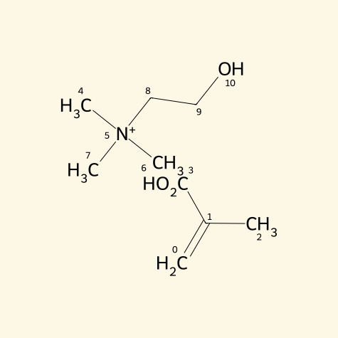 C=C(C)C(=O)O.C[N+](C)(C)CCO